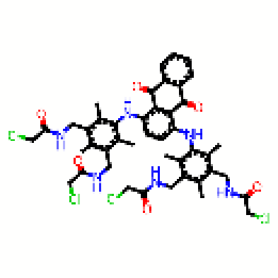 Cc1c(CNC(=O)CCl)c(C)c(Nc2ccc(Nc3c(C)c(CNC(=O)CCl)c(C)c(CNC(=O)CCl)c3C)c3c2C(=O)c2ccccc2C3=O)c(C)c1CNC(=O)CCl